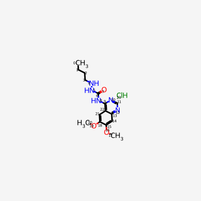 CCCCNNC(=O)Nc1ncnc2cc(OC)c(OC)cc12.Cl